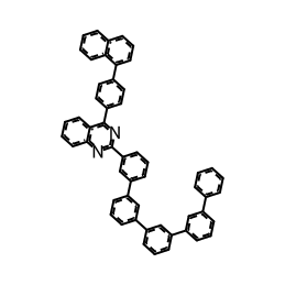 c1ccc(-c2cccc(-c3cccc(-c4cccc(-c5cccc(-c6nc(-c7ccc(-c8cccc9ccccc89)cc7)c7ccccc7n6)c5)c4)c3)c2)cc1